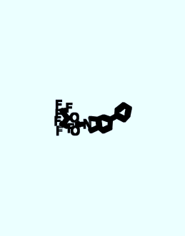 O=C(OC(C(F)(F)F)C(F)(F)F)N1Cc2ccc(-c3ccccc3)cc2C1